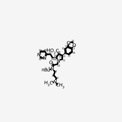 CCCCN(CCCN(C)C)C(=O)CN1C[C@H](c2ccc3c(c2)OCO3)[C@@H](C(=O)O)[C@@H]1CCc1ccncn1